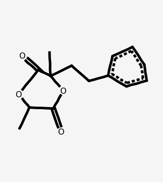 CC1OC(=O)C(C)(CCc2ccccc2)OC1=O